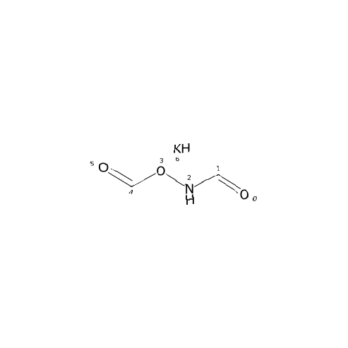 O=CNOC=O.[KH]